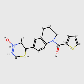 CC1C(c2ccc3c(c2)CCCN3C(=O)c2cccs2)SCN=[N+]1[O-]